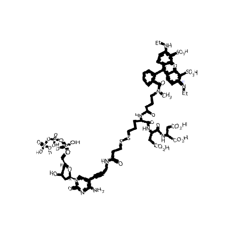 CC/N=c1\ccc2c(-c3ccccc3C(=O)N(C)CCCC(=O)NC(CCCSSCCC(=O)NCC#Cc3cn([C@H]4CC(O)[C@@H](COP(=O)(O)OP(=O)(O)OP(=O)(O)O)O4)c(=O)nc3N)C(=O)NC(CC(=O)O)C(=O)NC(CC(=O)O)C(=O)O)c3ccc(NCC)c(S(=O)(=O)O)c3oc-2c1S(=O)(=O)O